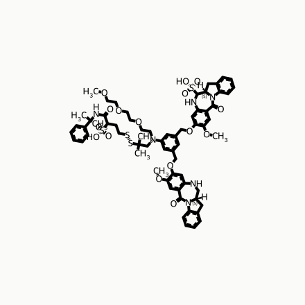 COCCOCCOCCN(CC(C)(C)SSCCC(C(=O)NC(C)(C)c1ccccc1)S(=O)(=O)O)c1cc(COc2cc3c(cc2OC)C(=O)N2c4ccccc4C[C@H]2CN3)cc(COc2cc3c(cc2OC)C(=O)N2c4ccccc4C[C@H]2C(S(=O)(=O)O)N3)c1